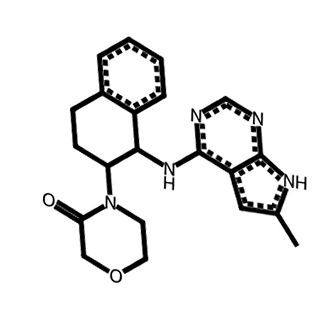 Cc1cc2c(NC3c4ccccc4CCC3N3CCOCC3=O)ncnc2[nH]1